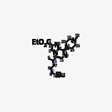 CCOC(=O)c1cn2c(/C(C)=C/C=C\[C@H](C)CC)cnc(N3CCN(C)CC3)c2n1